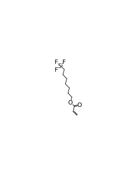 C=CC(=O)OCCCCCCC[Si](F)(F)F